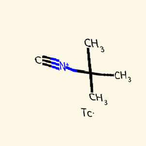 [C-]#[N+]C(C)(C)C.[Tc]